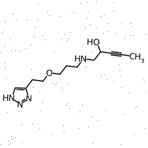 CC#CC(O)CNCCCOCCc1c[nH]nn1